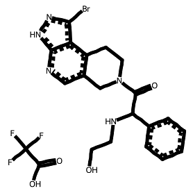 O=C(C(NCCO)c1ccccc1)N1CCc2c(cnc3[nH]nc(Br)c23)C1.O=C(O)C(F)(F)F